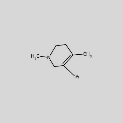 CC1=C(C(C)C)CN(C)CC1